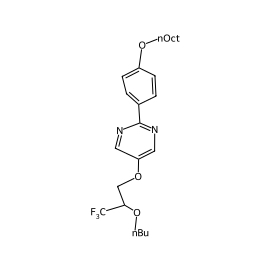 CCCCCCCCOc1ccc(-c2ncc(OCC(OCCCC)C(F)(F)F)cn2)cc1